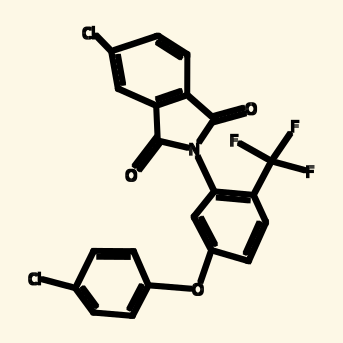 O=C1c2ccc(Cl)cc2C(=O)N1c1cc(Oc2ccc(Cl)cc2)ccc1C(F)(F)F